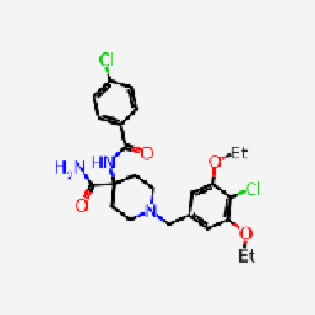 CCOc1cc(CN2CCC(NC(=O)c3ccc(Cl)cc3)(C(N)=O)CC2)cc(OCC)c1Cl